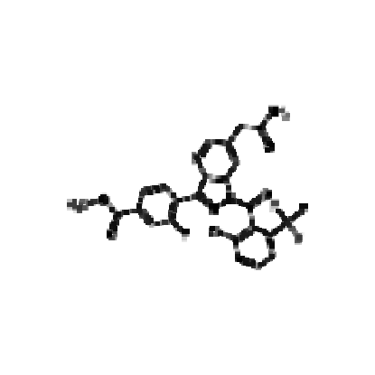 COC(=O)c1ccc(-c2nn(C(=O)c3c(Cl)cccc3C(F)(F)F)c3cc(CC(N)=O)cnc23)c(F)c1